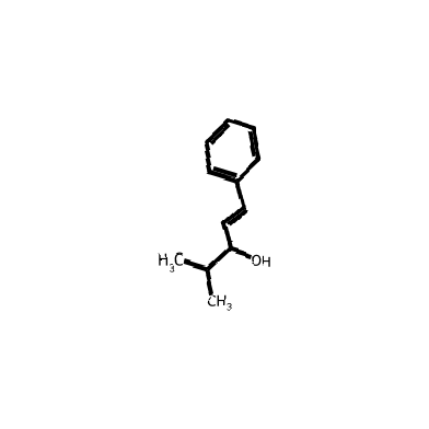 CC(C)C(O)/C=C/c1ccccc1